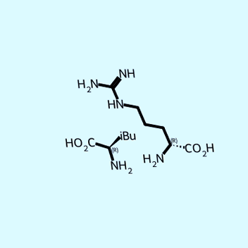 CCC(C)[C@@H](N)C(=O)O.N=C(N)NCCC[C@@H](N)C(=O)O